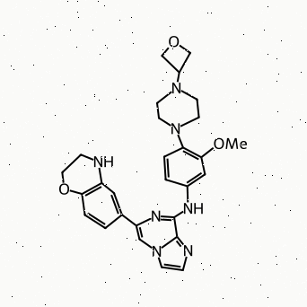 COc1cc(Nc2nc(-c3ccc4c(c3)NCCO4)cn3ccnc23)ccc1N1CCN(C2COC2)CC1